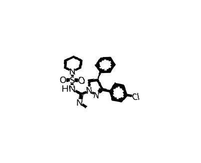 CN=C(NS(=O)(=O)N1CCCCC1)N1C[C@@H](c2ccccc2)C(c2ccc(Cl)cc2)=N1